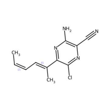 C/C=C\C=C(/C)c1nc(N)c(C#N)nc1Cl